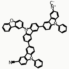 [C-]#[N+]c1ccc2c(c1)c1cc(-c3ccc4c(c3)c3cc(-c5ccc6c(c5)c5cc(C#N)ccc5n6-c5ccccc5)ccc3n4-c3ccc4oc5ccccc5c4c3)ccc1n2-c1ccccc1